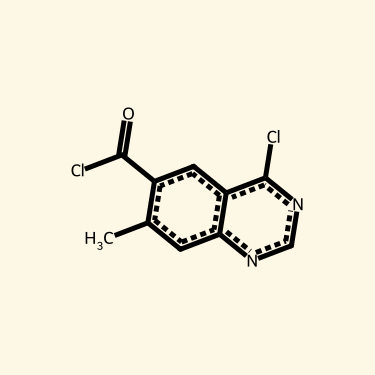 Cc1cc2ncnc(Cl)c2cc1C(=O)Cl